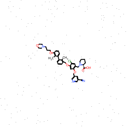 Cc1c(COc2cc(OCc3cncc(C#N)c3)c(CN3CCCC[C@H]3C(=O)O)cc2Cl)cccc1-c1cccc(OCCCN2CCOCC2)c1C